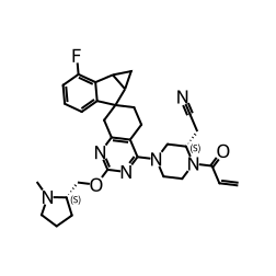 C=CC(=O)N1CCN(c2nc(OC[C@@H]3CCCN3C)nc3c2CCC2(C3)c3cccc(F)c3C3CC32)C[C@@H]1CC#N